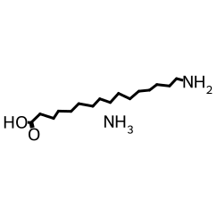 N.NCCCCCCCCCCCCCCCC(=O)O